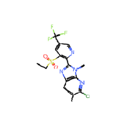 CCS(=O)(=O)c1cc(C(F)(F)F)cnc1-c1nc2cc(C)c(Cl)nc2n1C